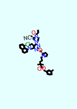 C=CC(=O)N1CCN(c2nc(OC[C@@H]3CCCN3CCCC(C)(C)C(=O)OCc3cccc(C)c3)nc3c2CCN(c2cccc4cccc(Cl)c24)C3)C[C@@H]1CC#N